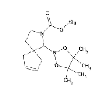 CC(C)(C)OC(=O)N1CCC2(CC=CC2)C1B1OC(C)(C)C(C)(C)O1